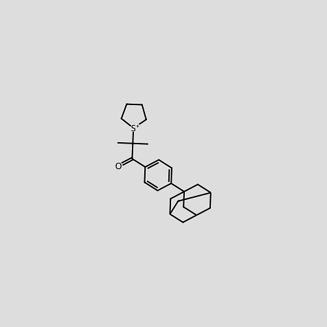 CC(C)(C(=O)c1ccc(C23CC4CC(CC(C4)C2)C3)cc1)[S+]1CCCC1